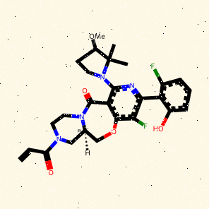 C=CC(=O)N1CCN2C(=O)c3c(N4CCC(OC)C4(C)C)nc(-c4c(O)cccc4F)c(F)c3OC[C@H]2C1